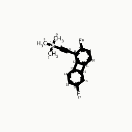 C[Si](C)(C)C#Cc1c(F)ccc2c1-c1ccc(F)cc1-2